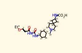 CCOC=CC(=O)NC(=O)N[C@H]1CC[C@H](CN2CCC3(CC2)CC(NC(=O)O)C3)CC1